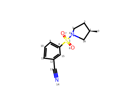 C[C@@H]1CCN(S(=O)(=O)c2cccc(C#N)c2)C1